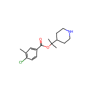 Cc1cc(C(=O)OC(C)(C)C2CCNCC2)ccc1Cl